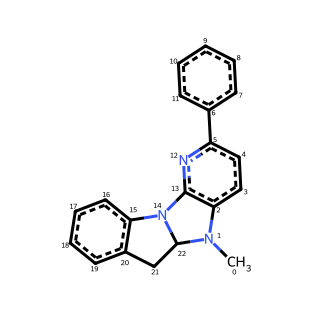 CN1c2ccc(-c3ccccc3)nc2N2c3ccccc3CC12